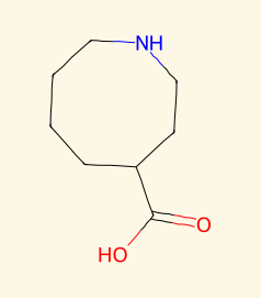 O=C(O)C1CCCCNCC1